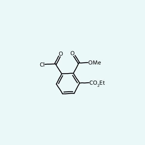 CCOC(=O)c1cccc(C(=O)Cl)c1C(=O)OC